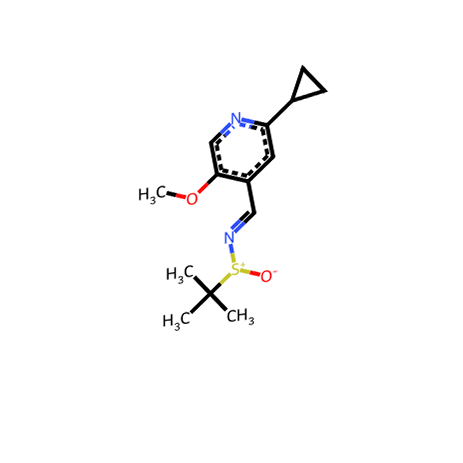 COc1cnc(C2CC2)cc1/C=N/[S+]([O-])C(C)(C)C